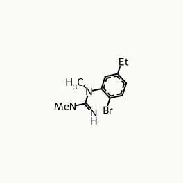 CCc1ccc(Br)c(N(C)C(=N)NC)c1